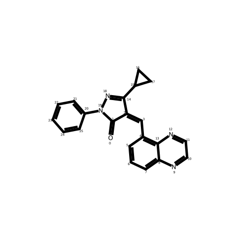 O=C1/C(=C\c2cccc3nccnc23)C(C2CC2)=NN1c1ccccc1